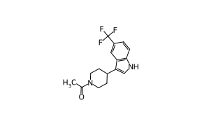 CC(=O)N1CCC(c2c[nH]c3ccc(C(F)(F)F)cc23)CC1